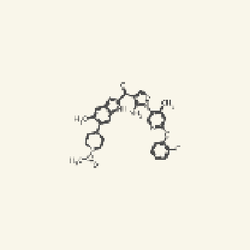 Cc1cc2cc(C(=O)c3cnn(-c4cnc(Oc5ccccc5F)cc4C)c3N)[nH]c2cc1C1CCN([S+](C)[O-])CC1